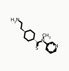 CN(c1cccnc1)C(=S)[C@H]1CC[C@H](CCN)CC1